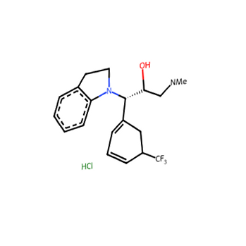 CNCC(O)[C@H](C1=CC=CC(C(F)(F)F)C1)N1CCc2ccccc21.Cl